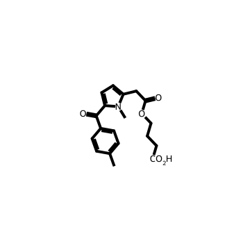 Cc1ccc(C(=O)c2ccc(CC(=O)OCCCC(=O)O)n2C)cc1